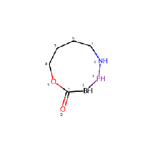 O=C1BPNCCCCO1